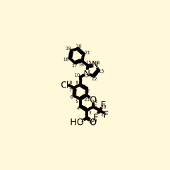 O=C(O)C1=Cc2cc(Cl)c(Cn3ccnc3-c3ccccc3)cc2OC1C(F)(F)F